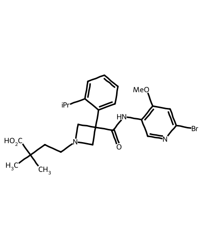 COc1cc(Br)ncc1NC(=O)C1(c2ccccc2C(C)C)CN(CCC(C)(C)C(=O)O)C1